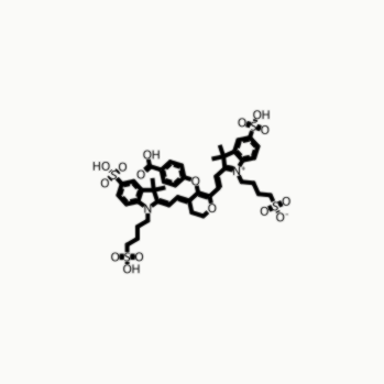 CC1(C)C(/C=C/C2=C(Oc3ccc(C(=O)O)cc3)C(=C/C=C3/N(CCCCS(=O)(=O)O)c4ccc(S(=O)(=O)O)cc4C3(C)C)/CCO2)=[N+](CCCCS(=O)(=O)[O-])c2ccc(S(=O)(=O)O)cc21